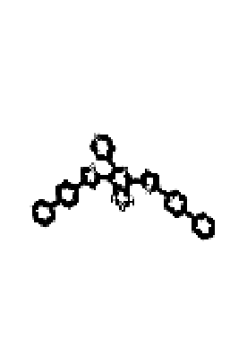 c1ccc(-c2ccc(-c3csc(-c4c(-c5ccncc5)nc(-c5ccc(-c6ccc(-c7ccccc7)cc6)s5)c5nonc45)c3)cc2)cc1